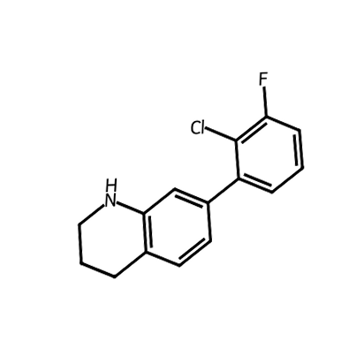 Fc1cccc(-c2ccc3c(c2)NCCC3)c1Cl